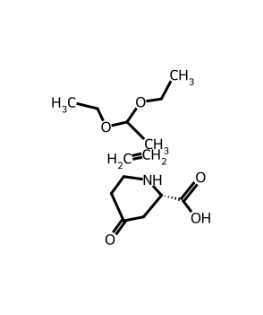 C=C.CCOC(C)OCC.O=C1CCN[C@H](C(=O)O)C1